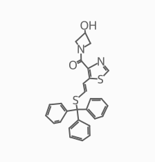 O=C(c1ncsc1C=CSC(c1ccccc1)(c1ccccc1)c1ccccc1)N1CC(O)C1